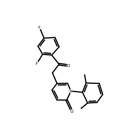 Cc1cccc(C)c1-n1cc(CC(=O)c2ccc(F)cc2F)ccc1=O